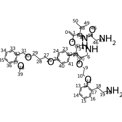 C=C(O[C@@H]1CNC[C@H](OCCOc2ccccc2CCN)[C@H]1c1ccc(OCCCOCc2ccccc2OC)cc1)[C@@H](NC(=O)CN)C(C)C